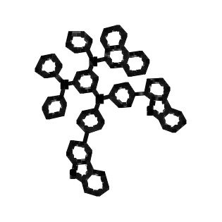 c1ccc(N(c2ccccc2)c2cc(N(c3ccc(-c4ccc5sc6ccccc6c5c4)cc3)c3ccc(-c4cccc5c4sc4ccccc45)cc3)cc(N(c3ccccc3)c3cc4ccccc4c4ccccc34)c2)cc1